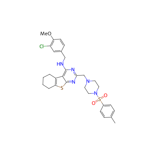 COc1ccc(CNc2nc(CN3CCN(S(=O)(=O)c4ccc(C)cc4)CC3)nc3sc4c(c23)CCCC4)cc1Cl